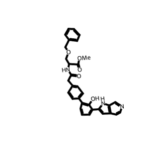 COC(=O)C(COCc1ccccc1)NC(=O)Cc1ccc(-c2cccc(-c3cc4ccncc4[nH]3)c2O)cc1